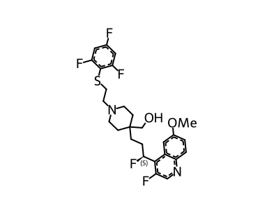 COc1ccc2ncc(F)c([C@@H](F)CCC3(CO)CCN(CCSc4c(F)cc(F)cc4F)CC3)c2c1